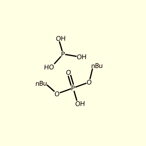 CCCCOP(=O)(O)OCCCC.OP(O)O